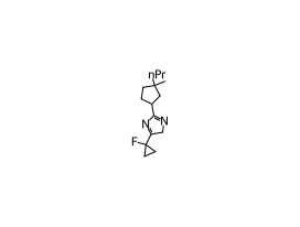 CCCC1(C)CCC(C2=NCC(C3(F)CC3)=N2)C1